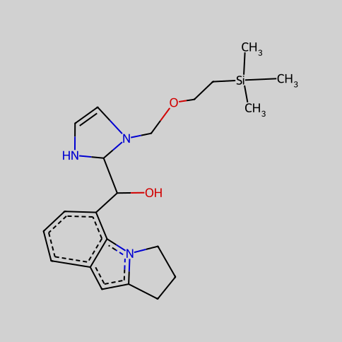 C[Si](C)(C)CCOCN1C=CNC1C(O)c1cccc2cc3n(c12)CCC3